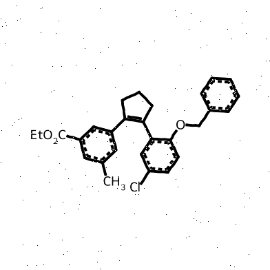 CCOC(=O)c1cc(C)cc(C2=C(c3cc(Cl)ccc3OCc3ccccc3)CCC2)c1